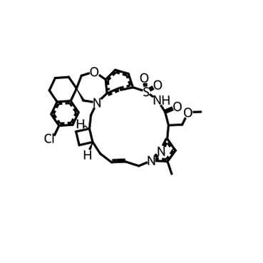 COCC1C(=O)NS(=O)(=O)c2ccc3c(c2)N(C[C@@H]2CC[C@H]2C/C=C/Cn2nc1cc2C)C[C@@]1(CCCc2cc(Cl)ccc21)CO3